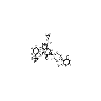 Cc1cccc(F)c1N1CCC(N2Cc3c(cnn3CC3CC3)N(Cc3ccccc3C(F)(F)F)C2=O)CC1